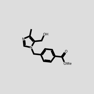 COC(=O)c1ccc(Cn2cnc(C)c2CO)cc1